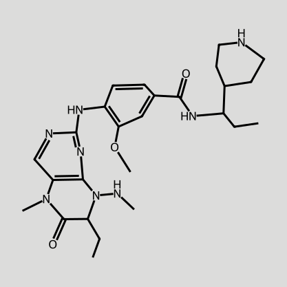 CCC(NC(=O)c1ccc(Nc2ncc3c(n2)N(NC)C(CC)C(=O)N3C)c(OC)c1)C1CCNCC1